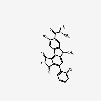 CN(C)C(=O)c1cc2c(cc1O)c1c3c(c(-c4ccccc4Cl)cc1n2C)C(=O)NC3=O